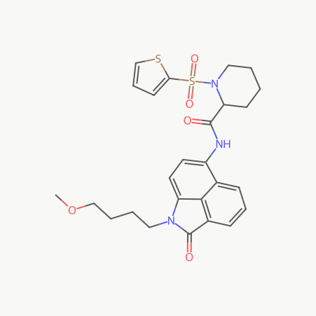 COCCCCN1C(=O)c2cccc3c(NC(=O)C4CCCCN4S(=O)(=O)c4cccs4)ccc1c23